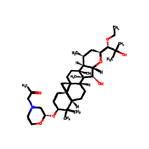 CCO[C@@H]([C@H]1C[C@@H](C)[C@H]2[C@H](O1)[C@H](O)[C@@]1(C)[C@@H]3CC[C@H]4C(C)(C)[C@@H](O[C@H]5CN(CC(C)=O)CCO5)CC[C@@]45C[C@@]35CC[C@]21C)C(C)(C)O